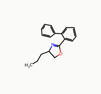 CCCC1COC(c2ccccc2-c2ccccc2)=N1